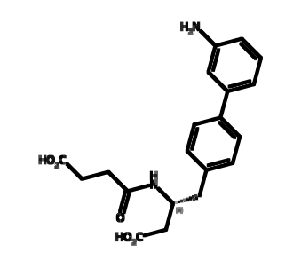 Nc1cccc(-c2ccc(C[C@H](CC(=O)O)NC(=O)CCC(=O)O)cc2)c1